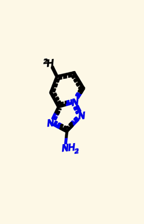 [2H]c1ccn2nc(N)nc2c1